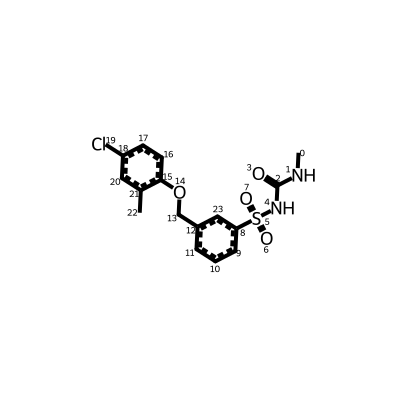 CNC(=O)NS(=O)(=O)c1cccc(COc2ccc(Cl)cc2C)c1